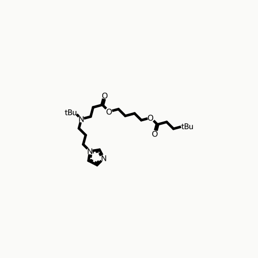 CC(C)(C)CCC(=O)OCCCCOC(=O)CCN(CCCn1ccnc1)C(C)(C)C